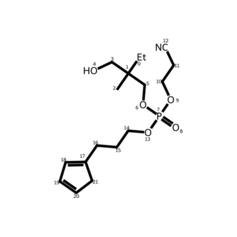 CCC(C)(CO)COP(=O)(OCCC#N)OCCCC1=CC=CC1